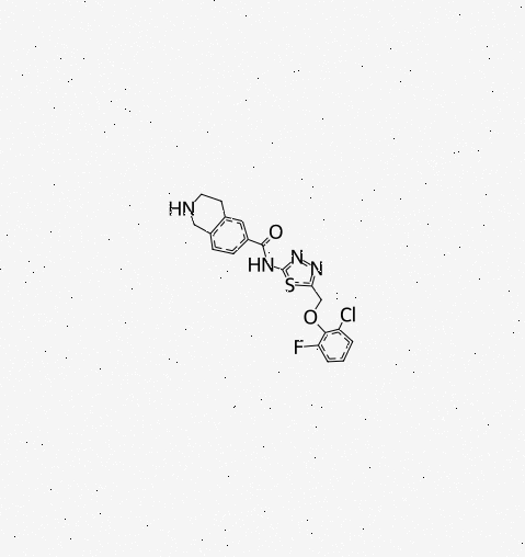 O=C(Nc1nnc(COc2c(F)cccc2Cl)s1)c1ccc2c(c1)CCNC2